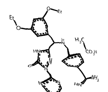 CC(=O)O.CCOc1cc(OCC)cc(C(Nc2ccc(C(=N)N)cc2)c2nn(-c3ncccn3)c(=O)[nH]2)c1